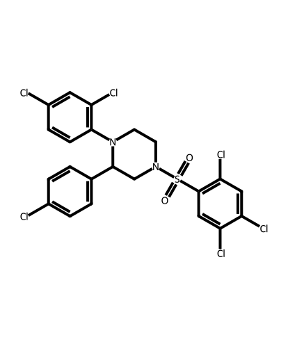 O=S(=O)(c1cc(Cl)c(Cl)cc1Cl)N1CCN(c2ccc(Cl)cc2Cl)C(c2ccc(Cl)cc2)C1